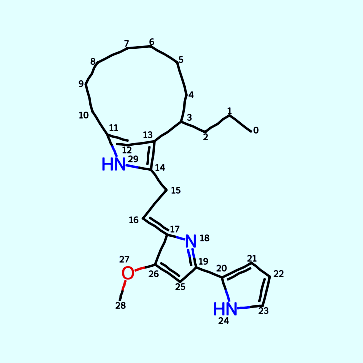 CCCC1CCCCCCCc2cc1c(CC=C1N=C(c3ccc[nH]3)C=C1OC)[nH]2